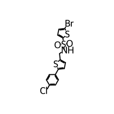 O=S(=O)(NCc1ccc(-c2ccc(Cl)cc2)s1)c1ccc(Br)s1